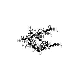 CSCC[C@H](NC(=O)[C@H](C)NC(=O)[C@@H](N)CCC(N)=O)C(=O)N[C@@H](CC(N)=O)C(=O)N[C@@H](CCC(=O)O)C(=O)N[C@@H](C)C(=O)N[C@H](C(=O)NCC(=O)NCC(=O)N[C@@H](CCCCN)C(=O)O)[C@@H](C)O